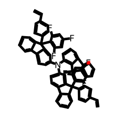 C=Cc1ccc(C2(c3c(F)cc(F)cc3F)c3ccccc3-c3ccc(N(c4ccc5c(c4)C(c4ccc(C=C)cc4)(c4c(F)cc(F)cc4F)c4ccccc4-5)c4cccc5c4C(C)(C)c4ccccc4-5)cc32)cc1